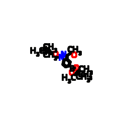 CC(=O)c1nn(COCC[Si](C)(C)C)c2ccc(B3OC(C)(C)C(C)(C)O3)cc12